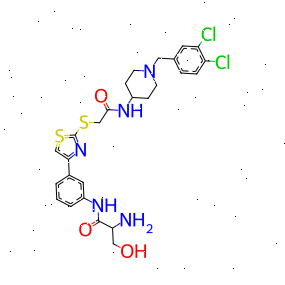 NC(CO)C(=O)Nc1cccc(-c2csc(SCC(=O)NC3CCN(Cc4ccc(Cl)c(Cl)c4)CC3)n2)c1